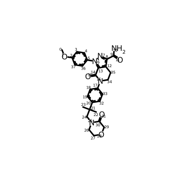 COc1ccc(-n2nc(C(N)=O)c3c2C(=O)N(c2ccc(C(C)(C)CN4CCOCC4=O)cc2)CC3)cc1